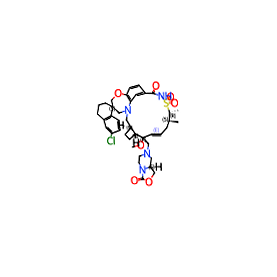 CO[C@@]1(CN2CCN3C(=O)OC[C@@H]3C2)/C=C/C[C@H](C)[C@@H](C)S(=O)(=O)NC(=O)c2ccc3c(c2)N(C[C@@H]2CC[C@H]21)C[C@@]1(CCCc2cc(Cl)ccc21)CO3